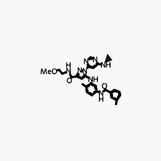 COCCNC(=O)c1cc(Nc2cc(NC(=O)c3cccc(C)c3)ccc2C)n(-c2cc(NC3CC3)ncn2)n1